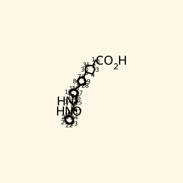 O=C(O)CC1CCC(c2ccc(-c3ccc4[nH]c(C(=O)Nc5ccccc5)cc4c3)cc2)CC1